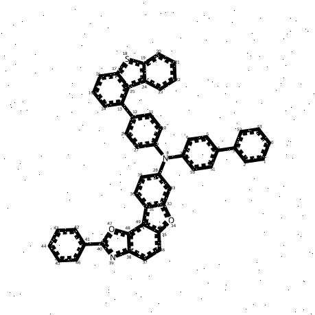 c1ccc(-c2ccc(N(c3ccc(-c4cccc5sc6ccccc6c45)cc3)c3ccc4c(c3)oc3ccc5nc(-c6ccccc6)oc5c34)cc2)cc1